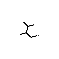 [CH2]CC(C)C([CH2])C